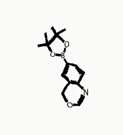 CC1(C)OB(c2ccc3c(c2)COC=N3)OC1(C)C